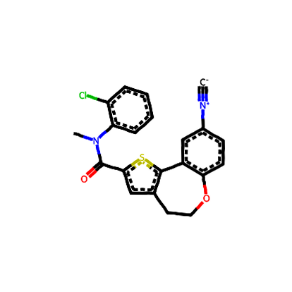 [C-]#[N+]c1ccc2c(c1)-c1sc(C(=O)N(C)c3ccccc3Cl)cc1CCO2